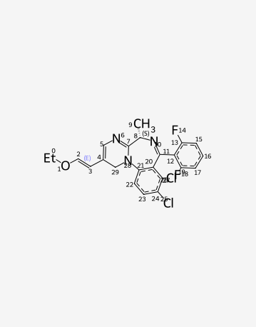 CCO/C=C/C1=CN=C2[C@H](C)N=C(c3c(F)cccc3F)c3c(ccc(Cl)c3Cl)N2C1